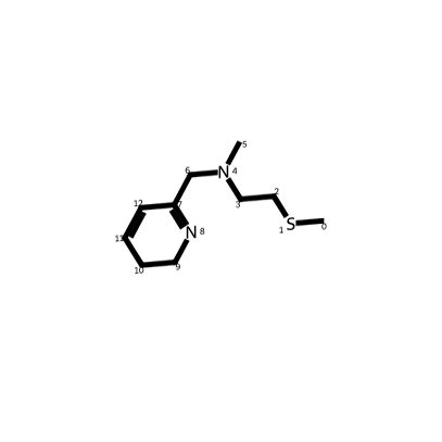 CSCCN(C)CC1=NCCC=C1